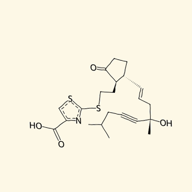 CC(C)CC#C[C@@](C)(O)C/C=C/[C@H]1CCC(=O)[C@@H]1CCSc1nc(C(=O)O)cs1